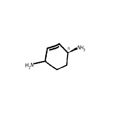 NC1C=C[C@@H](N)CC1